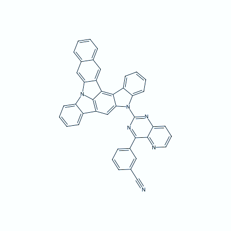 N#Cc1cccc(-c2nc(-n3c4ccccc4c4c5c6cc7ccccc7cc6n6c7ccccc7c(cc43)c56)nc3cccnc23)c1